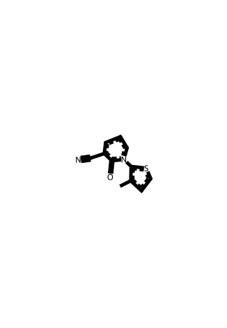 Cc1ccsc1-n1cccc(C#N)c1=O